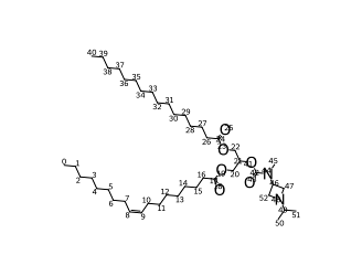 CCCCCCCC/C=C\CCCCCCCC(=O)OCC(COC(=O)CCCCCCCCCCCCCCC)OC(=O)N(C)C1CN(C(C)C)C1